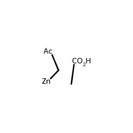 CC(=O)O.CC(=O)[CH2][Zn]